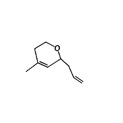 C=CCC1C=C(C)CCO1